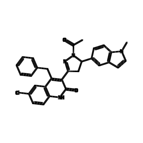 CC(=O)N1N=C(c2c(Cc3ccccc3)c3cc(Cl)ccc3[nH]c2=O)CC1c1ccc2c(ccn2C)c1